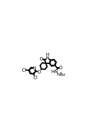 CCCCNC(=O)c1ccc2c(c1)C1(CCC(Oc3ncc(Cl)cc3Cl)CC1)C(=O)N2